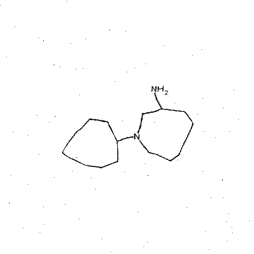 NC1CCCCCN(C2CCCCCCC2)C1